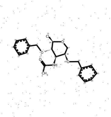 CC(=O)N[C@H]1[C@H](OCc2ccccc2)[C@@H](Cl)OC[C@H]1OCc1ccccc1